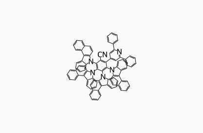 N#Cc1c(-c2cc(-c3ccccc3)nc(-c3ccccc3)c2)c(-n2c3ccccc3c3c4ccccc4ccc32)c(-n2c3ccccc3c3c4ccccc4ccc32)c(-n2c3ccccc3c3c4ccccc4ccc32)c1-n1c2ccccc2c2c3ccccc3ccc21